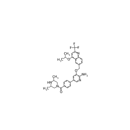 CC1CN(C(=O)c2ccc(-c3cnc(N)c(OCc4ccc5nc(C(F)(F)F)cc(OC(C)C)c5c4)c3)cc2)CC(C)N1